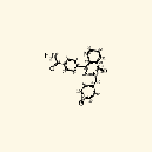 NC(=O)c1ccc(-c2nn(Cc3cc[n+]([O-])cc3)c(=O)c3cccnc23)cc1